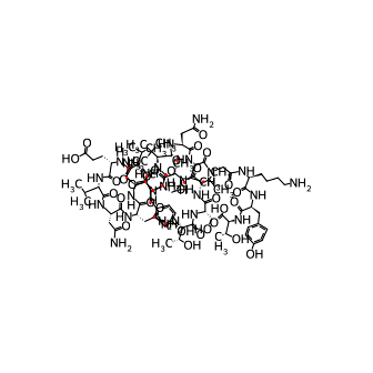 CC(C)[C@H](NC(=O)[C@H](CC(N)=O)NC(=O)[C@@H](N(C)C(=O)[C@H](CO)NC(=O)[C@H](CC(N)=O)NC(=O)[C@H](CC(N)=O)NC(=O)[C@H](CC(N)=O)NC(=O)[C@@H](NC(=O)[C@H](CCC(=O)O)NC(=O)[C@@H](NC(=O)[C@H](Cc1ccc(O)cc1)NC(=O)[C@H](C)NC(=O)[C@@H](NC(=O)[C@H](CO)NC(=O)[C@@H](N)[C@@H](C)O)C(C)C)C(C)C)C(C)C)C(C)(C)C)C(=O)NCC(=O)N[C@@H](CCCCN)C(=O)N[C@@H](Cc1ccc(O)cc1)C(=O)N[C@H](C(=O)O)[C@@H](C)O